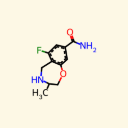 CC1COc2cc(C(N)=O)cc(F)c2CN1